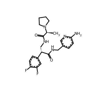 C[C@@H](C(=O)NC[C@H](C(=O)NCc1ccc(N)nc1)c1ccc(F)c(F)c1)N1CCCC1